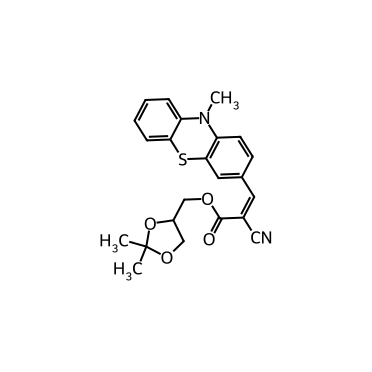 CN1c2ccccc2Sc2cc(C=C(C#N)C(=O)OCC3COC(C)(C)O3)ccc21